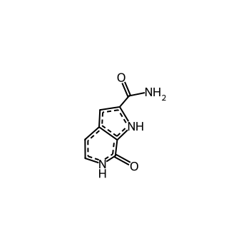 NC(=O)c1cc2cc[nH]c(=O)c2[nH]1